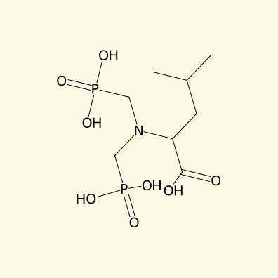 CC(C)CC(C(=O)O)N(CP(=O)(O)O)CP(=O)(O)O